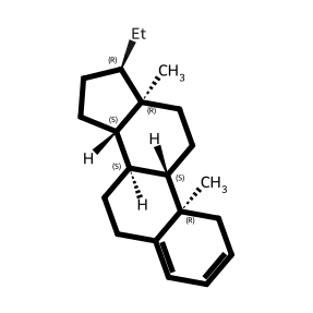 CC[C@@H]1CC[C@H]2[C@@H]3CCC4=CC=CC[C@]4(C)[C@H]3CC[C@]12C